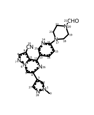 Cn1cc(-c2cn3ncc(C#N)c3c(-c3ccc(N4CCN(C=O)CC4)nc3)n2)cn1